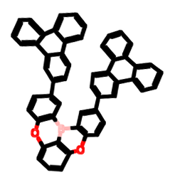 c1cc2c3c(c1)Oc1ccc(-c4ccc5c6ccccc6c6ccccc6c5c4)cc1B3c1cc(-c3ccc4c5ccccc5c5ccccc5c4c3)ccc1O2